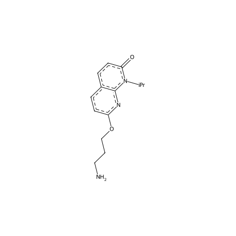 CC(C)n1c(=O)ccc2ccc(OCCCN)nc21